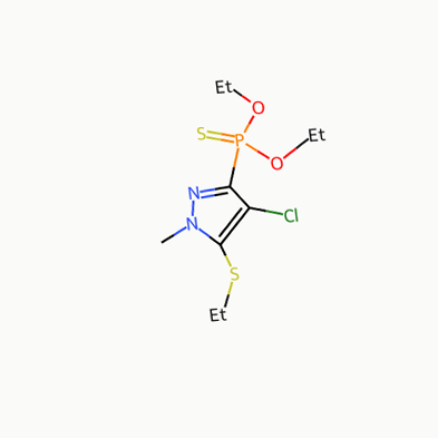 CCOP(=S)(OCC)c1nn(C)c(SCC)c1Cl